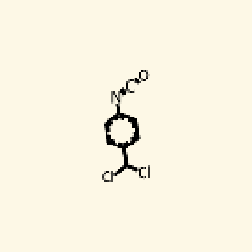 O=C=Nc1ccc(C(Cl)Cl)cc1